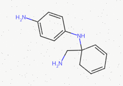 NCC1(Nc2ccc(N)cc2)C=CC=CC1